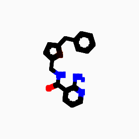 Nc1ncccc1C(=O)NCc1ccc(Cc2ccccc2)s1